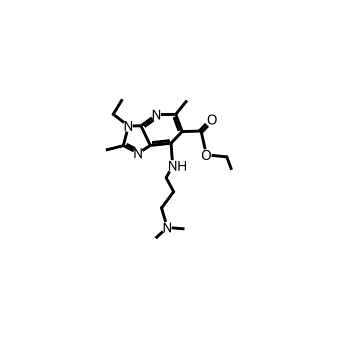 CCOC(=O)c1c(C)nc2c(nc(C)n2CC)c1NCCCN(C)C